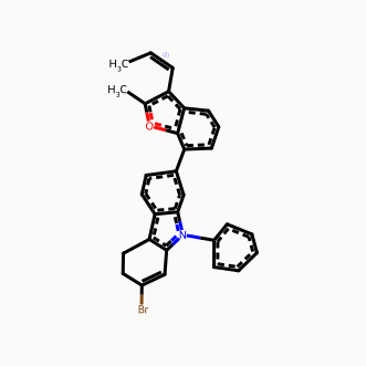 C/C=C\c1c(C)oc2c(-c3ccc4c5c(n(-c6ccccc6)c4c3)C=C(Br)CC5)cccc12